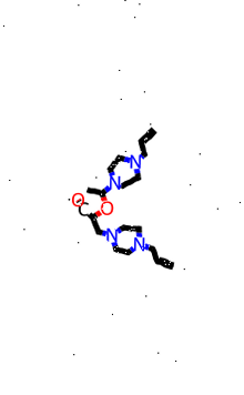 C=CCN1CCN(CC(C[O])OC(C)N2CCN(CC=C)CC2)CC1